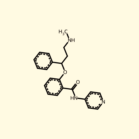 CNCCC(Oc1ccccc1C(=O)Nc1ccncc1)c1ccccc1